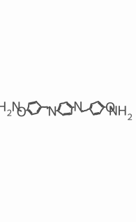 NOc1ccc(C=Nc2ccc(N=Cc3ccc(ON)cc3)cc2)cc1